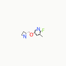 Cc1cc(OC[C@H]2CCN2C)cnc1F